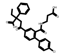 CCC(CC(=O)c1ccc(-c2ccc(Cl)cc2)c(C(=O)NCCC(=O)O)c1)(C(=O)O)c1ccccc1